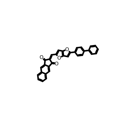 O=C1C(=Cc2cc3oc(-c4ccc(-c5ccccc5)cc4)cc3o2)C(=O)c2cc3ccccc3cc21